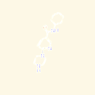 O=C(NC1CCCCC1)c1ccc(N2CCNCC2)nc1